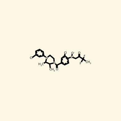 CC1C(C)N(c2cccc(Cl)c2)CCN1C(=O)c1ccc([S+]([O-])CC(=O)C(C)(F)F)c(Cl)c1